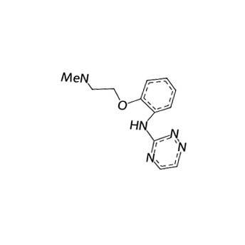 CNCCOc1ccccc1Nc1nccnn1